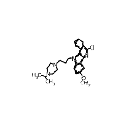 COc1ccc2c(c1)c1nc(Cl)c3ccccc3c1n2CCCN1CCN(C(C)C)CC1